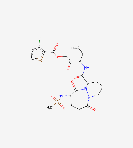 CS(=O)(=O)NC1CCC(=O)N2CCCC(C(=O)NC(CC(=O)O)C(=O)COC(=O)c3sccc3Cl)N2C1=O